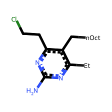 CCCCCCCCCc1c(CC)nc(N)nc1CCCl